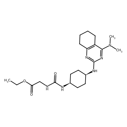 CCOC(=O)CNC(=O)N[C@H]1CC[C@@H](Nc2nc3c(c(N(C)C)n2)CCCC3)CC1